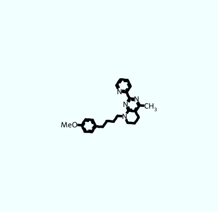 COc1ccc(CCCCN2CCCc3c(C)nc(-c4ccccn4)nc32)cc1